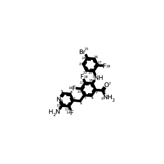 NC(=O)c1cc(Cc2ccnc(N)c2F)c(F)c(F)c1Nc1ccc(Br)cc1F